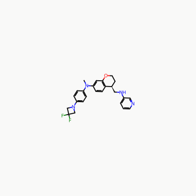 CN(c1ccc(N2CC(F)(F)C2)cc1)c1ccc2c(c1)OCC[C@H]2CNc1cccnc1